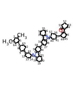 Cc1cc(C)cc(-c2ccc(-c3cccc(-n4c5ccccc5c5cc(-c6ccc7c(c6)c6ccccc6n7-c6ccc(-c7cccc8c7oc7ccccc78)cc6)ccc54)c3)cc2)c1